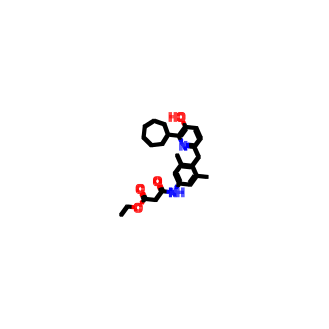 CCOC(=O)CC(=O)Nc1cc(C)c(Cc2ccc(O)c(C3CCCCCC3)n2)c(C)c1